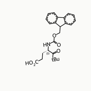 CC(C)(C)C(=O)[C@H](CCC(=O)O)NC(=O)OCC1c2ccccc2-c2ccccc21